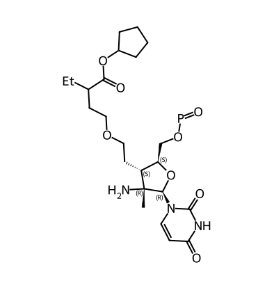 CCC(CCOCC[C@@H]1[C@@H](COP=O)O[C@@H](n2ccc(=O)[nH]c2=O)[C@]1(C)N)C(=O)OC1CCCC1